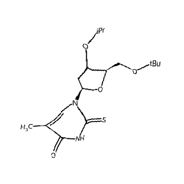 Cc1cn([C@H]2CC(OC(C)C)[C@@H](COC(C)(C)C)O2)c(=S)[nH]c1=O